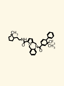 CN1CCCC1CCNC(=O)c1ccc2n1Cc1ccccc1N(C(=O)C1=CC(C)(C(F)(F)F)C(c3ccccc3)C=C1)C2